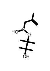 C=C(C)CB(O)OC(C)(C)C(C)(C)O